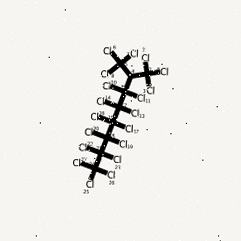 ClC(Cl)(Cl)[C](C(Cl)(Cl)Cl)C(Cl)(Cl)C(Cl)(Cl)C(Cl)(Cl)C(Cl)(Cl)C(Cl)(Cl)C(Cl)(Cl)Cl